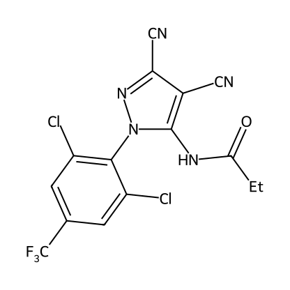 CCC(=O)Nc1c(C#N)c(C#N)nn1-c1c(Cl)cc(C(F)(F)F)cc1Cl